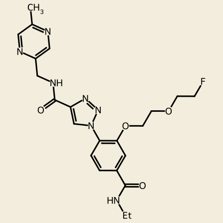 CCNC(=O)c1ccc(-n2cc(C(=O)NCc3cnc(C)cn3)nn2)c(OCCOCCF)c1